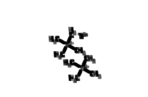 [CH3][Ti-2]([CH3])([CH3])[CH3].[CH3][Ti-2]([CH3])([CH3])[CH3].[Ti+4]